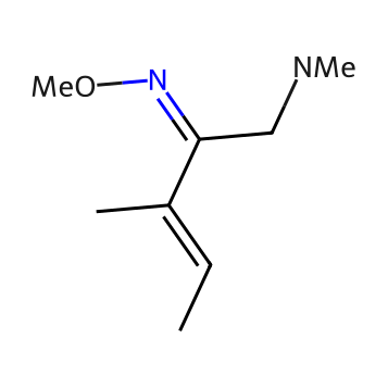 CC=C(C)C(CNC)=NOC